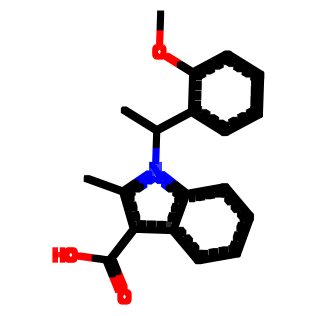 COc1ccccc1C(C)n1c(C)c(C(=O)O)c2ccccc21